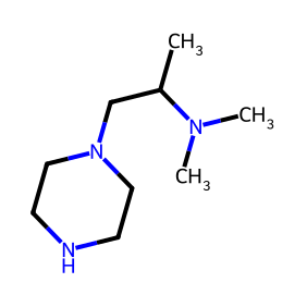 CC(CN1CCNCC1)N(C)C